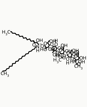 CCCCCCCCCCCCC/C=C/[C@@H](O)[C@H](CO[C@@H]1OC(CO)[C@@H](O[C@@H]2OC(CO)[C@H](O[C@@H]3OC(CO)[C@H](O)[C@H](O[C@@H]4OC(CO)[C@H](O)[C@H](O[C@@H]5OC(CO)[C@@H](O)[C@H](O)C5NC(C)=O)C4O)C3NC(C)=O)[C@H](O)C2O)[C@H](O)C1O)NC(=O)CCCCCCCCCCCCCCCCCCCCC